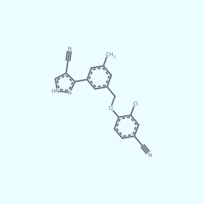 Cc1cc(COc2ccc(C#N)cc2Cl)cc(-c2n[nH]cc2C#N)c1